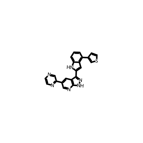 c1cc(-c2ccsc2)c2cc(-c3n[nH]c4ncc(-c5cnccn5)cc34)[nH]c2c1